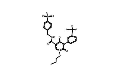 CCCCn1cc(C(=O)NCc2ccc(S(C)(=O)=O)cc2)c(=O)n(-c2cccc(C(F)(F)F)c2)c1=O